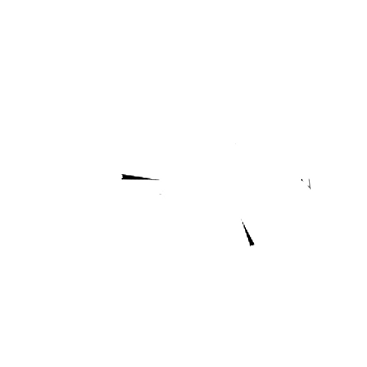 F[C@H]1C[C@@H](c2ccccc2)C=C2C=CN=C21